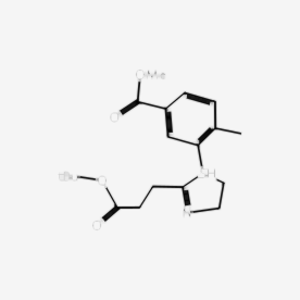 COC(=O)c1ccc(C)c([SH]2CCN=C2CCC(=O)OC(C)(C)C)c1